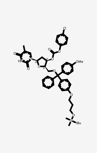 COc1ccc(C(OC[C@H]2O[C@@H](n3cc(C)c(=O)[nH]c3=O)C[C@H]2OC(=O)Oc2ccc(Cl)cc2)(c2ccccc2)c2ccc(OCCCO[Si](C)(C)C(C)(C)C)cc2)cc1